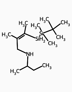 CCC(C)NCC(C)=C(C)[SiH2][Si](C)(C)C(C)(C)C